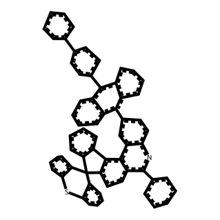 c1ccc(-c2ccc(-c3c4ccccc4c(-c4ccc5nc(-c6ccccc6)c6ccc7c(c6c5c4)-c4ccccc4C74c5ccccc5Sc5ccccc54)c4ccccc34)cc2)cc1